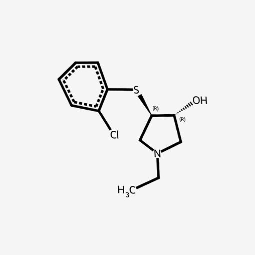 CCN1C[C@@H](O)[C@H](Sc2ccccc2Cl)C1